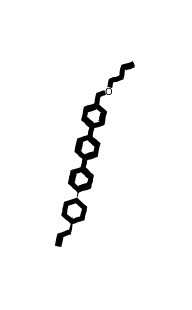 C=CCCOCc1ccc(-c2ccc(-c3ccc([C@H]4CC[C@H](CC=C)CC4)cc3)cc2)cc1